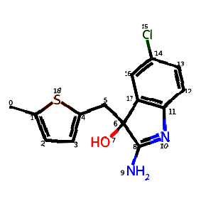 Cc1ccc(CC2(O)C(N)=Nc3ccc(Cl)cc32)s1